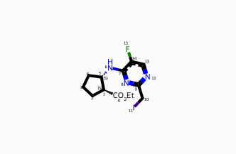 CCOC(=O)[C@H]1CCC[C@@H]1Nc1nc(CI)ncc1F